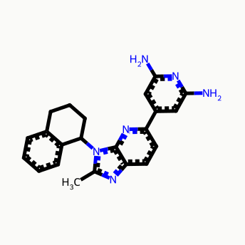 Cc1nc2ccc(-c3cc(N)nc(N)c3)nc2n1C1CCCc2ccccc21